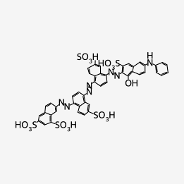 O=S(=O)(O)c1cc(S(=O)(=O)O)c2cc(N=Nc3ccc(N=Nc4ccc(N=Nc5c(S(=O)(=O)O)cc6cc(Nc7ccccc7)ccc6c5O)c5cc(S(=O)(=O)O)ccc45)c4cc(S(=O)(=O)O)ccc34)ccc2c1